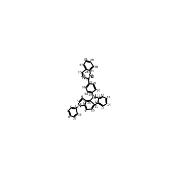 c1ccc(-n2ccc3c2ccc2c4ccccc4n(-c4ccc(-c5ncc6ccccc6n5)cc4)c23)cc1